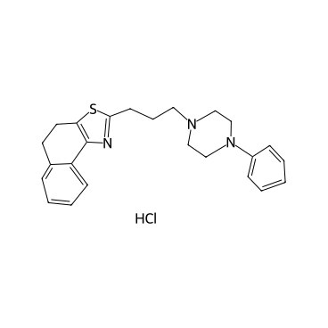 Cl.c1ccc(N2CCN(CCCc3nc4c(s3)CCc3ccccc3-4)CC2)cc1